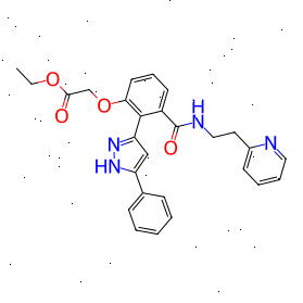 CCOC(=O)COc1cccc(C(=O)NCCc2ccccn2)c1-c1cc(-c2ccccc2)[nH]n1